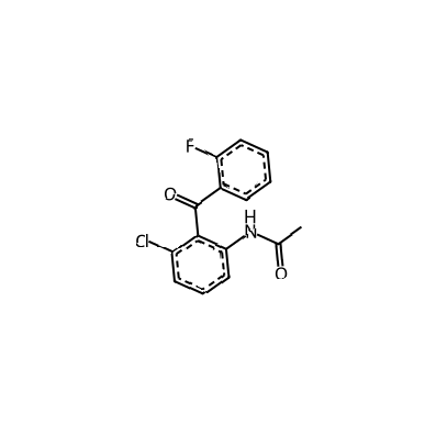 CC(=O)Nc1cccc(Cl)c1C(=O)c1ccccc1F